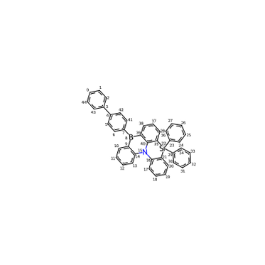 c1ccc(-c2ccc(B3c4ccccc4N4c5ccccc5[Si](c5ccccc5)(c5ccccc5)c5cccc3c54)cc2)cc1